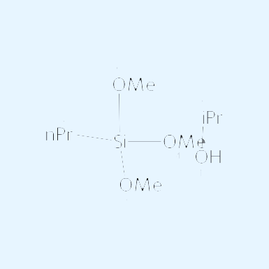 CC(C)O.CCC[Si](OC)(OC)OC